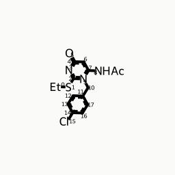 CCSc1nc(=O)cc(NC(C)=O)n1Cc1ccc(Cl)cc1